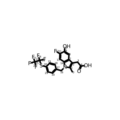 Cc1c(CC(=O)O)c2cc(O)c(F)cc2n1Cc1ccc(SC(F)(F)C(F)(F)F)cc1